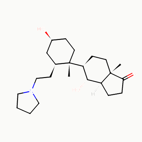 C[C@]1([C@H]2CC[C@]3(C)C(=O)CC[C@H]3[C@@H]2O)CC[C@H](O)C[C@@H]1CCN1CCCC1